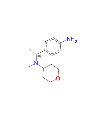 C[C@H](c1ccc(N)cc1)N(C)C1CCOCC1